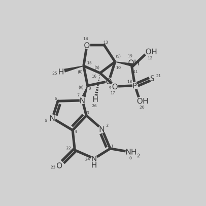 Nc1nc2c(ncn2[C@@H]2O[C@@]3(CO)CO[C@@H]2[C@@H]3OP(O)(O)=S)c(=O)[nH]1